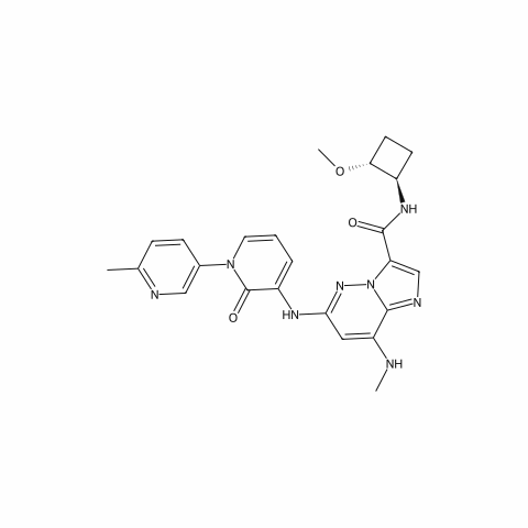 CNc1cc(Nc2cccn(-c3ccc(C)nc3)c2=O)nn2c(C(=O)N[C@@H]3CC[C@H]3OC)cnc12